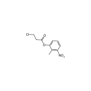 Cc1c(OC(=O)CCCl)cccc1[N+](=O)[O-]